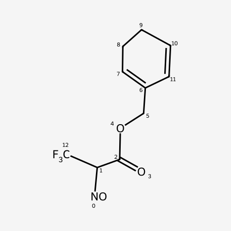 O=NC(C(=O)OCC1=CCCC=C1)C(F)(F)F